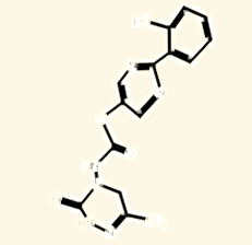 CC1=NNC(=O)N(NC(=O)Oc2cnc(-c3ccccc3O)nc2)C1